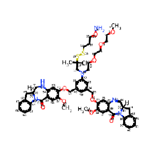 COCCOCCOCCN(CC(C)(C)SSCCCON)c1cc(COc2cc3c(cc2OC)C(=O)N2c4ccccc4C[C@H]2C=N3)cc(COc2cc3c(cc2OC)C(=O)N2c4ccccc4C[C@H]2CN3)c1